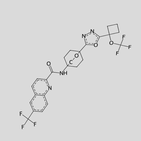 O=C(NC12CCC(c3nnc(C4(OC(F)(F)F)CCC4)o3)(CC1)OC2)c1ccc2cc(C(F)(F)F)ccc2n1